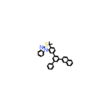 CC1(C)Sc2nc3ccccc3n2-c2cc(-c3cc(-c4ccccc4)cc(-c4ccc5ccccc5c4)c3)ccc21